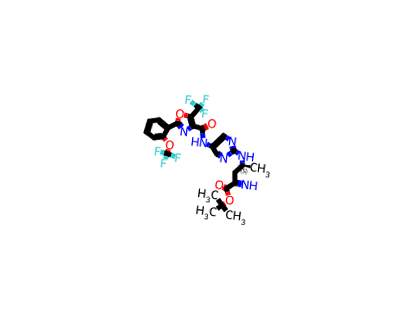 C[C@@H](CC(=N)C(=O)OC(C)(C)C)Nc1ncc(NC(=O)c2nc(-c3ccccc3OC(F)(F)F)oc2C(F)(F)F)cn1